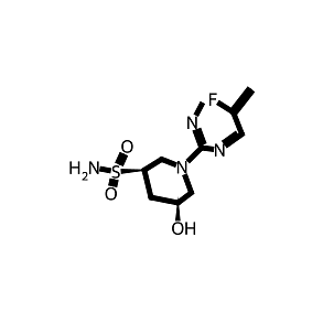 C=C(F)/C=N\C(=N/C)N1C[C@@H](O)C[C@@H](S(N)(=O)=O)C1